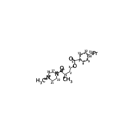 CC(CCOC(=O)c1ccc(C(C)C)cc1)C(=O)N1CCN(C)CC1